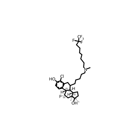 CN(CCCCCCCC(F)(F)C(F)(F)F)CCCCCC1Cc2c(ccc(O)c2Cl)[C@@H]2[C@@H]1[C@@H]1CC[C@@](C)(O)[C@@]1(C)C[C@@H]2F